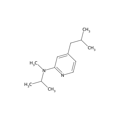 CC(C)Cc1ccnc(N(C)C(C)C)c1